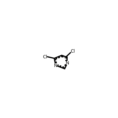 Clc1[c]c(Cl)ncn1